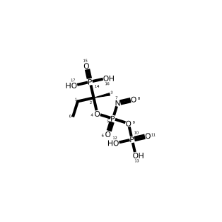 CC[C@@](C)(OP(=O)(N=O)OP(=O)(O)O)P(=O)(O)O